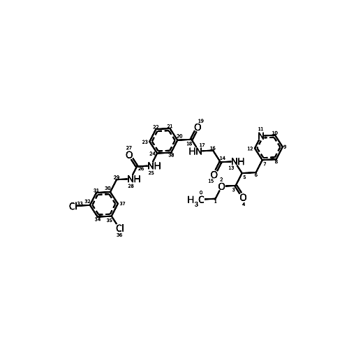 CCOC(=O)C(Cc1cccnc1)NC(=O)CNC(=O)c1cccc(NC(=O)NCc2cc(Cl)cc(Cl)c2)c1